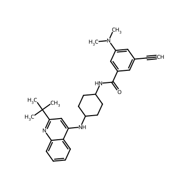 C#Cc1cc(C(=O)NC2CCC(Nc3cc(C(C)(C)C)nc4ccccc34)CC2)cc(N(C)C)c1